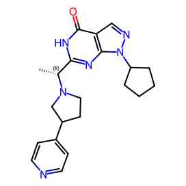 C[C@H](c1nc2c(cnn2C2CCCC2)c(=O)[nH]1)N1CCC(c2ccncc2)C1